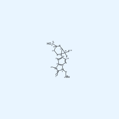 Cn1c(=O)n(CC(C)(C)C)c2ccc(C34CCN(C(=O)O)CC3C4(F)F)nc21